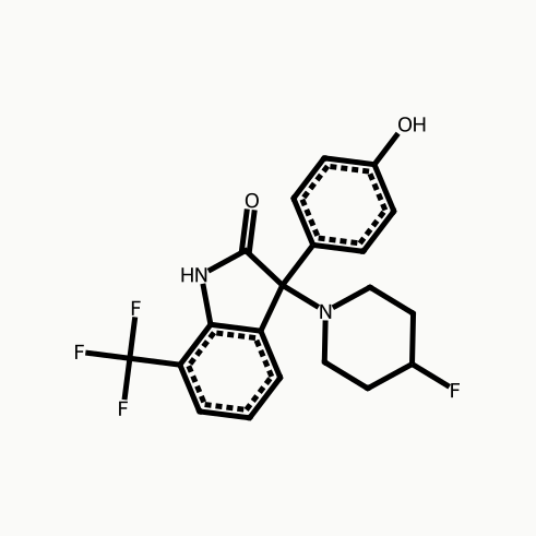 O=C1Nc2c(C(F)(F)F)cccc2C1(c1ccc(O)cc1)N1CCC(F)CC1